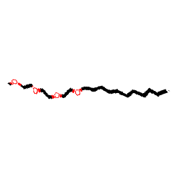 [CH2]CCCCCCCCCCOCCOCCOCCOC